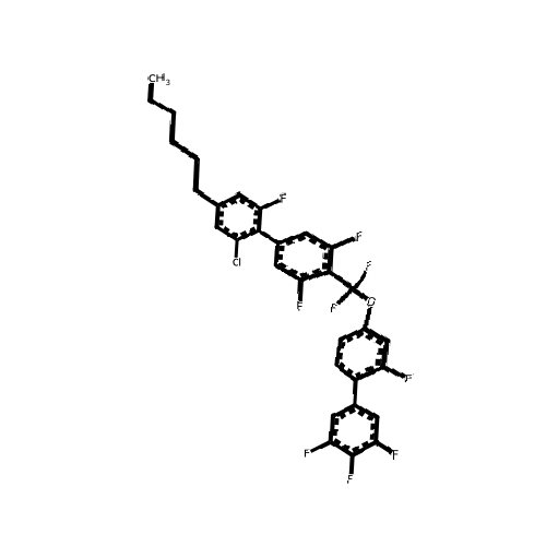 CCCCCCc1cc(F)c(-c2cc(F)c(C(F)(F)Oc3ccc(-c4cc(F)c(F)c(F)c4)c(F)c3)c(F)c2)c(Cl)c1